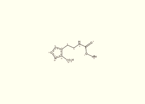 CCCCOC(=O)NCCc1conc1C(=O)O